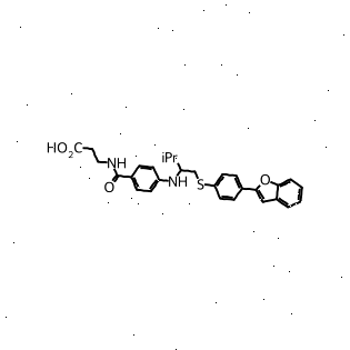 CC(C)C(CSc1ccc(-c2cc3ccccc3o2)cc1)Nc1ccc(C(=O)NCCC(=O)O)cc1